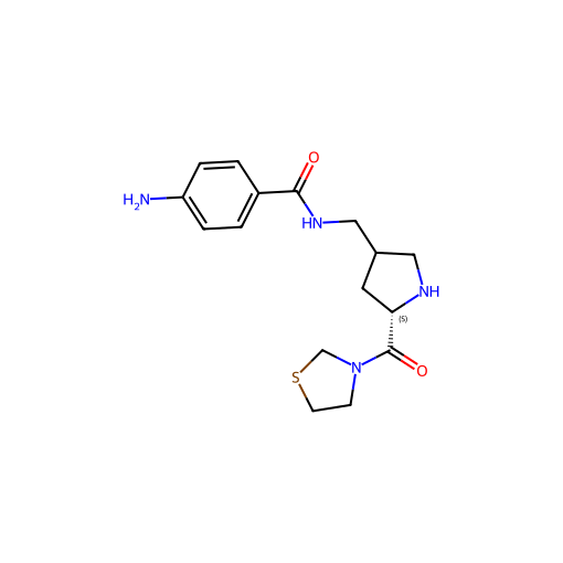 Nc1ccc(C(=O)NCC2CN[C@H](C(=O)N3CCSC3)C2)cc1